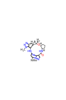 BC1(B)O[C@H]2CCC[C@H]2NC(=O)c2cnn3c(NC)cc(nc23)Nc2cc1cc1nnn(C)c21